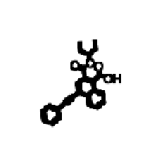 CCC(CC)OC(=O)c1cc(C#Cc2ccccc2)c2ccccc2c1C(=O)O